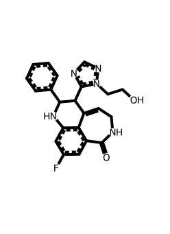 O=C1NCC=C2c3c(cc(F)cc31)NC(c1ccccc1)C2c1ncnn1CCO